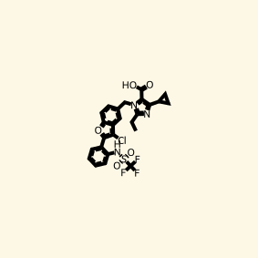 CCc1nc(C2CC2)c(C(=O)O)n1Cc1ccc2oc(-c3ccccc3NS(=O)(=O)C(F)(F)F)c(Cl)c2c1